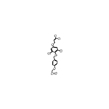 O=CCOc1ccc(COc2c(Cl)cc(OCC=C(Cl)Cl)cc2Cl)cc1